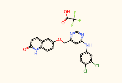 O=C(O)C(F)(F)F.O=c1ccc2cc(OCc3cc(Nc4ccc(Cl)c(Cl)c4)ncn3)ccc2[nH]1